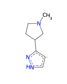 CN1CCC(c2[c]c[nH]n2)C1